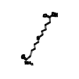 NC(=O)CCCCCSCCCCCC(=O)O